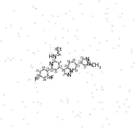 CCSNc1cc(-c2cnn3cc(-c4cnn(C)c4)ccc23)cc(-c2ccc(F)cc2F)n1